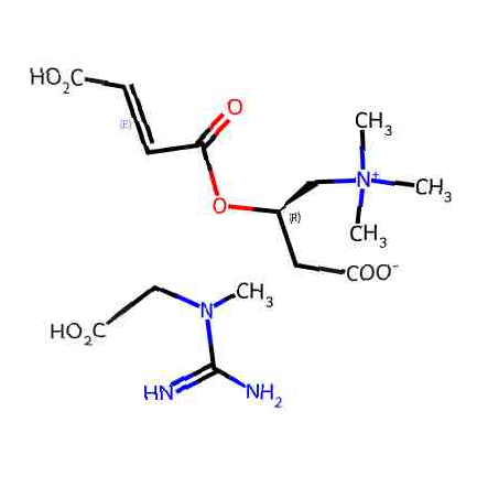 CN(CC(=O)O)C(=N)N.C[N+](C)(C)C[C@@H](CC(=O)[O-])OC(=O)/C=C/C(=O)O